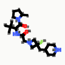 CC1CCCN1C(=O)C(NC(=O)CN1CC(F)(CC2CCNCC2)C1)C(C)(C)C